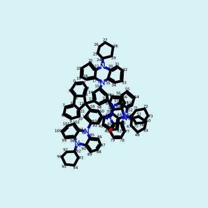 c1ccc2c(c1)-c1ccccc1C2(c1cc(N2c3ccccc3N(C3CCCCC3)c3ccccc32)cc(N2c3ccccc3N(C3CCCCC3)c3ccccc32)c1)c1cc(N2c3ccccc3N(C3CCCCC3)c3ccccc32)cc(N2c3ccccc3N(C3CCCCC3)c3ccccc32)c1